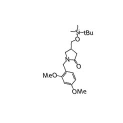 COc1ccc(CN2CC(CO[Si](C)(C)C(C)(C)C)CC2=O)c(OC)c1